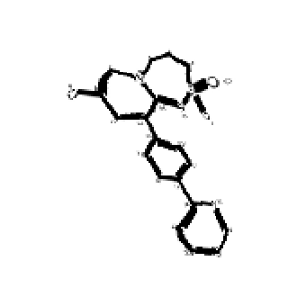 O=S1(=O)CCCN2C=C(Cl)C=C(c3ccc(-c4ccccn4)cc3)C2=N1